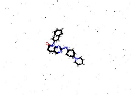 O=c1ccc2cnc(Nc3ccc(N4CCCCC4)cc3)nc2n1C1Cc2ccccc2C1